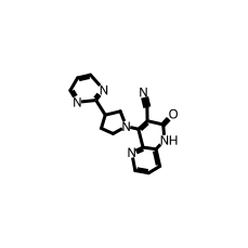 N#Cc1c(N2CCC(c3ncccn3)C2)c2ncccc2[nH]c1=O